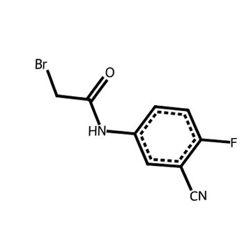 N#Cc1cc(NC(=O)CBr)ccc1F